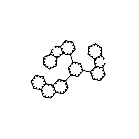 c1ccc2c(c1)ccc1ccc(-c3cc(-c4cccc5oc6ccccc6c45)cc(-c4cccc5oc6ccccc6c45)c3)cc12